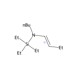 CC/C=C/N(CCCC)[Si](CC)(CC)CC